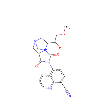 COCC(=O)C1CN2CC3C(=O)N(c4ccc(C#N)c5ncccc45)C(=O)[N+]13C2